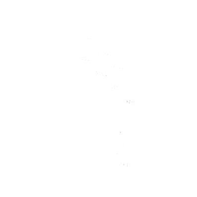 OCCOCCNc1ccc2cc3ccccc3cc2c1